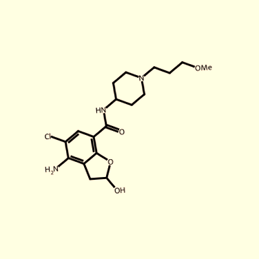 COCCCN1CCC(NC(=O)c2cc(Cl)c(N)c3c2OC(O)C3)CC1